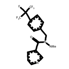 CNN(Cc1ccc(C(F)(C(F)(F)F)C(F)(F)F)cc1)C(=O)c1cccnc1